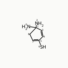 NC1(N)C=CC(S)=CC1